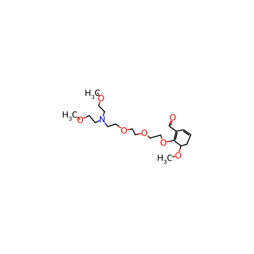 COCCN(CCOC)CCOCCOCCOC1=C(C=O)C=CCC1OC